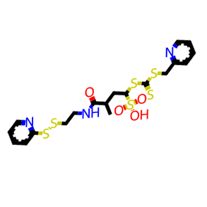 CC(CC(SC(=S)SCc1ccccn1)S(=O)(=O)O)C(=O)NCCSSc1ccccn1